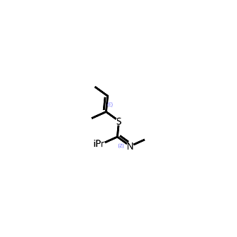 C/C=C(\C)S/C(=N\C)C(C)C